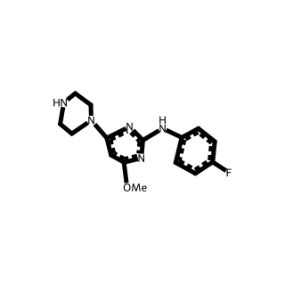 COc1cc(N2CCNCC2)nc(Nc2ccc(F)cc2)n1